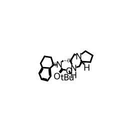 CC(C)(C)OC(=O)N(C[C@@H]1CN2CCC[C@@H]2CN1)[C@@H]1CCCc2ccccc21